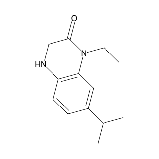 CCN1C(=O)CNc2ccc(C(C)C)cc21